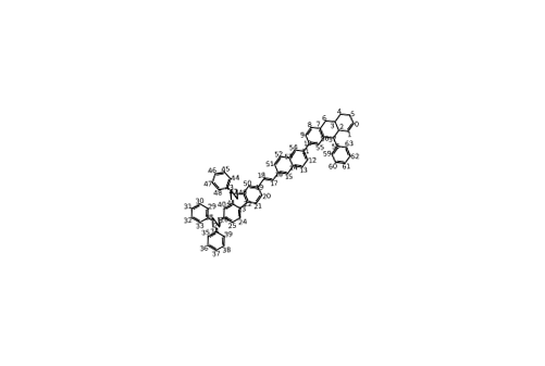 C1=CC2C(CC1)Cc1ccc(-c3ccc4cc(/C=C/c5ccc6c7ccc(N(c8ccccc8)c8ccccc8)cc7n(-c7ccccc7)c6c5)ccc4c3)cc1C2c1ccccc1